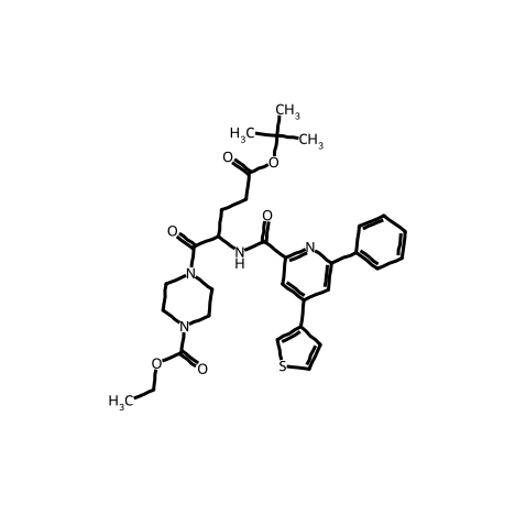 CCOC(=O)N1CCN(C(=O)C(CCC(=O)OC(C)(C)C)NC(=O)c2cc(-c3ccsc3)cc(-c3ccccc3)n2)CC1